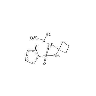 CCOC=O.O=S(=O)(NC1(C(F)(F)F)CCC1)c1ccc[nH]1